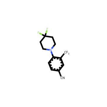 N#Cc1ccc(N2CCC(F)(F)CC2)c(C(F)(F)F)c1